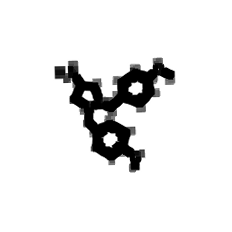 COc1ccc(CN2CC(N)CN2Cc2ccc(OC)cc2)cc1